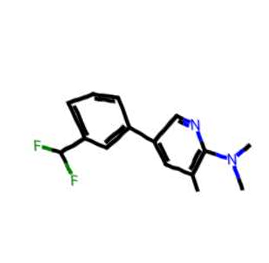 Cc1cc(-c2cccc(C(F)F)c2)cnc1N(C)C